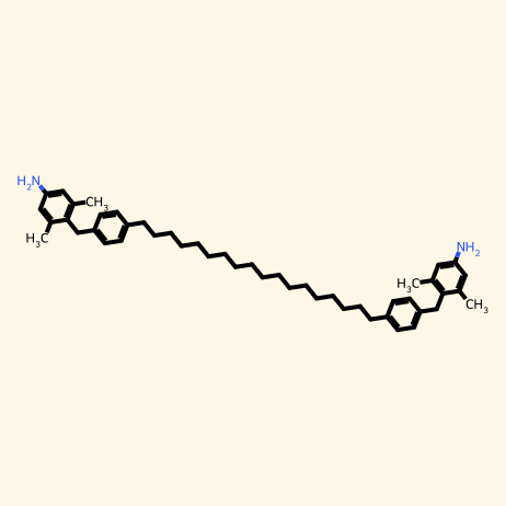 Cc1cc(N)cc(C)c1Cc1ccc(CCCCCCCCCCCCCCCCCCc2ccc(Cc3c(C)cc(N)cc3C)cc2)cc1